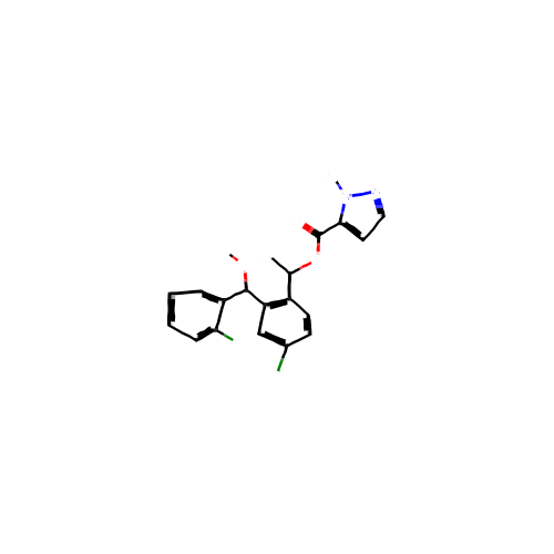 COC(c1ccccc1Cl)c1cc(Cl)ccc1C(C)OC(=O)c1ccnn1C